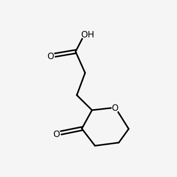 O=C(O)CCC1OCCCC1=O